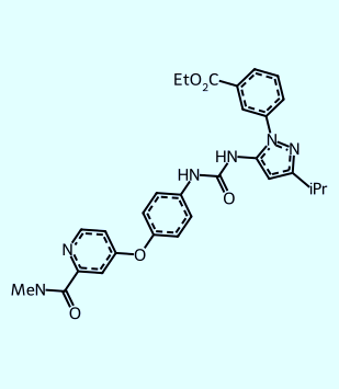 CCOC(=O)c1cccc(-n2nc(C(C)C)cc2NC(=O)Nc2ccc(Oc3ccnc(C(=O)NC)c3)cc2)c1